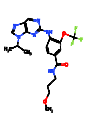 COCCCNC(=O)c1ccc(Nc2ncc3ncn(C(C)C)c3n2)c(OC(F)(F)F)c1